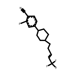 N#Cc1ccc(C2CCC(CCC=CC(F)(F)F)CC2)cc1F